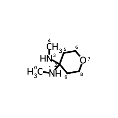 CNC1(NC)CCOCC1